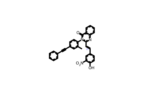 Cc1cc(C#Cc2ccccc2)ccc1-n1c(/C=C/c2ccc(O)c([N+](=O)[O-])c2)nc2ccccc2c1=O